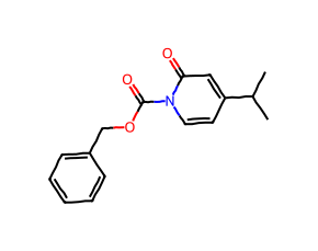 CC(C)c1ccn(C(=O)OCc2ccccc2)c(=O)c1